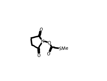 CSC(=O)ON1C(=O)CCC1=O